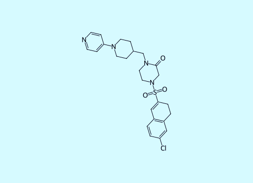 O=C1CN(S(=O)(=O)C2=Cc3ccc(Cl)cc3CC2)CCN1CC1CCN(c2ccncc2)CC1